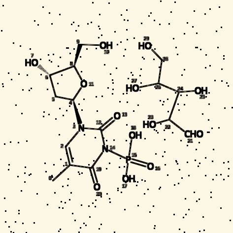 Cc1cn([C@H]2C[C@H](O)[C@@H](CO)O2)c(=O)n(P(=O)(O)O)c1=O.O=CC(O)C(O)C(O)CO